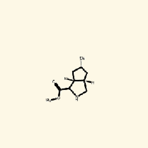 CC(C)(C)OC(=O)C1NC[C@H]2C[C@@H](C#N)C[C@@H]12